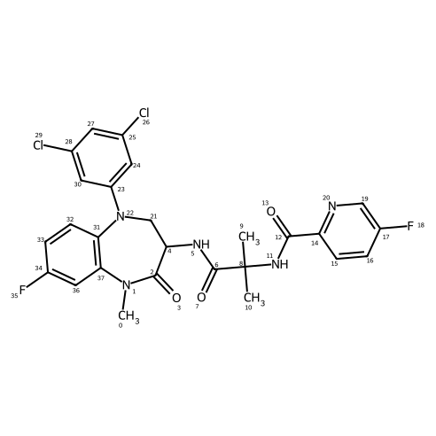 CN1C(=O)C(NC(=O)C(C)(C)NC(=O)c2ccc(F)cn2)CN(c2cc(Cl)cc(Cl)c2)c2ccc(F)cc21